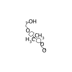 CC(C)(C1CCC(OCCC2CC2O)CC1)C1CCC(OCC2CO2)CC1